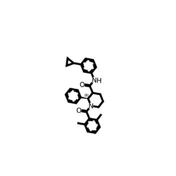 Cc1cccc(C)c1C(=O)N1CCCC(C(=O)Nc2cccc(C3CC3)c2)[C@@H]1c1ccccc1